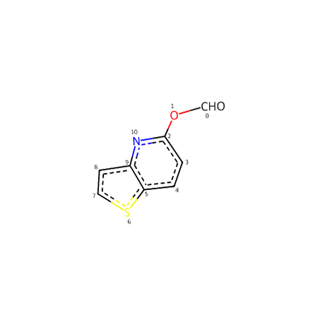 O=COc1ccc2sccc2n1